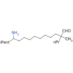 CCCC(C)C(N)CCCCCCCCC(C)(C=O)CCC